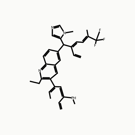 C=C/C(=C\C(=C/C)c1cc2cc(C(/C(C=C)=C/C=C(\C)C(F)(F)F)c3cncn3C)ccc2nc1CC)PC